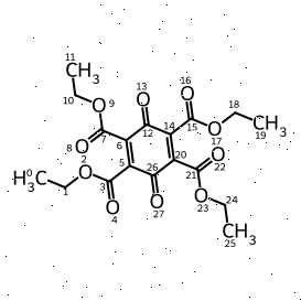 CCOC(=O)C1=C(C(=O)OCC)C(=O)C(C(=O)OCC)=C(C(=O)OCC)C1=O